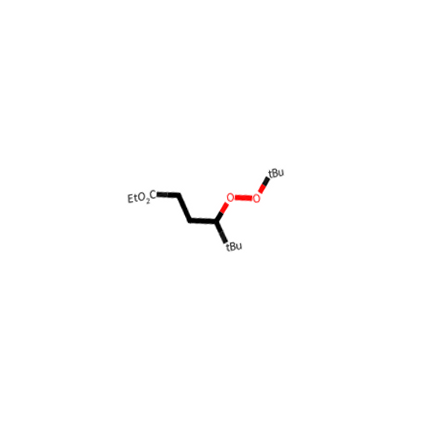 CCOC(=O)CCC(OOC(C)(C)C)C(C)(C)C